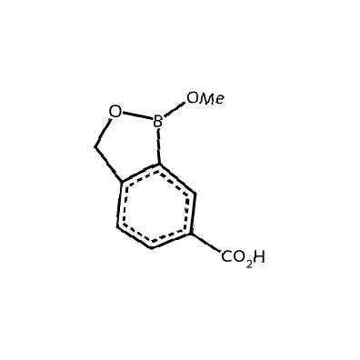 COB1OCc2ccc(C(=O)O)cc21